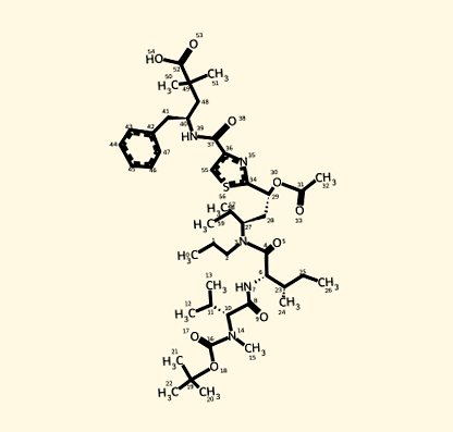 CCCN(C(=O)[C@@H](NC(=O)[C@@H](C(C)C)N(C)C(=O)OC(C)(C)C)[C@@H](C)CC)[C@H](C[C@@H](OC(C)=O)c1nc(C(=O)N[C@@H](Cc2ccccc2)CC(C)(C)C(=O)O)cs1)C(C)C